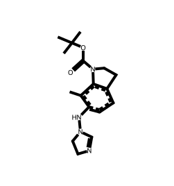 Cc1c(NN2C=NCC2)ccc2c1N(C(=O)OC(C)(C)C)CC2